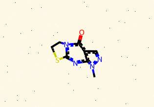 Cn1ncc2c(=O)n3c(nc21)SCC3